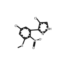 CSc1cc(Cl)cc(-c2n[nH]cc2Cl)c1[N+](=O)[O-]